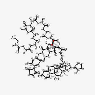 CC(=O)CN(C)C(=O)CN(C)C(=O)CN(C)C(=O)CN(C)C(=O)CN(C)C(=O)CN(C)C(=O)CN(C)C(=O)CN(C)C(=O)CN(C)C(=O)CN(C)C(=O)CCCOc1cc(N2C(=O)C=CC2=O)c(F)cc1CCC(=O)N[C@@H](C)C(=O)N[C@@H](C)C(=O)NCOCC(=O)[C@@]12O[C@H](c3sccc3F)O[C@@H]1C[C@H]1[C@@H]3CCC4=CC(=O)C=C[C@]4(C)[C@@]3(F)[C@@H](O)C[C@@]12C